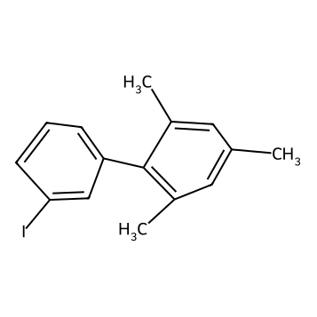 Cc1cc(C)c(-c2cccc(I)c2)c(C)c1